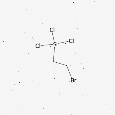 Cl[Si](Cl)(Cl)CCBr